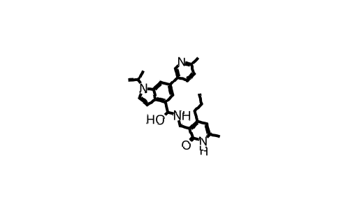 CCCc1cc(C)[nH]c(=O)c1CNC(O)c1cc(-c2ccc(C)nc2)cc2c1ccn2C(C)C